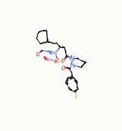 O=CN(O)C(CC(=O)N1CCCN1C(=O)c1ccc(F)cc1)CC1CCCC1